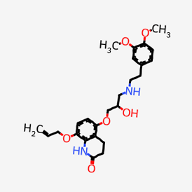 C=CCOc1ccc(OCC(O)CNCCc2ccc(OC)c(OC)c2)c2c1NC(=O)CC2